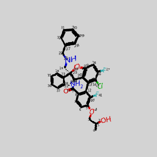 CC(O)COc1ccc(C(N)=O)c(-c2c(Cl)c(F)cc3c2[C@H](C)[C@@](CNCc2ccccc2)(c2ccccc2)O3)c1F